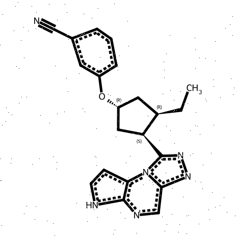 CC[C@@H]1C[C@@H](Oc2cccc(C#N)c2)C[C@@H]1c1nnc2cnc3[nH]ccc3n12